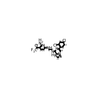 Nc1nc(NCCNc2nc(-c3ccc(Cl)cc3Cl)cn3ncnc23)ccc1C(=O)C(F)(F)F